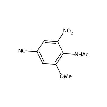 COc1cc(C#N)cc([N+](=O)[O-])c1NC(C)=O